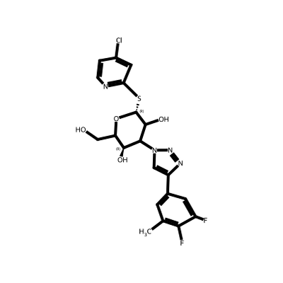 Cc1cc(-c2cn(C3C(O)[C@@H](Sc4cc(Cl)ccn4)OC(CO)[C@@H]3O)nn2)cc(F)c1F